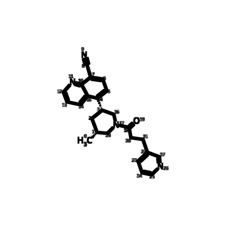 C[C@@H]1C[C@H](c2ccc(C#N)c3ncccc23)CN(C(=O)CCc2cccnc2)C1